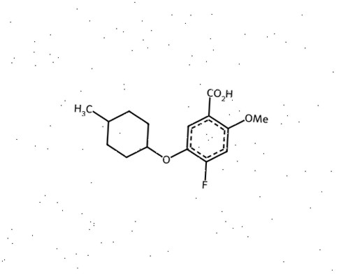 COc1cc(F)c(OC2CCC(C)CC2)cc1C(=O)O